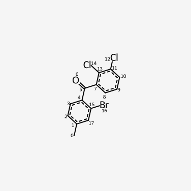 Cc1ccc(C(=O)c2cccc(Cl)c2Cl)c(Br)c1